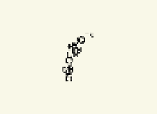 CCc1cnc(N2CCC(Oc3ncnc4c(-c5ccc(C#N)cc5)cn(C)c34)CC2)nc1